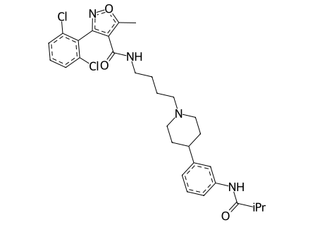 Cc1onc(-c2c(Cl)cccc2Cl)c1C(=O)NCCCCN1CCC(c2cccc(NC(=O)C(C)C)c2)CC1